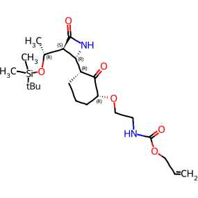 C=CCOC(=O)NCCO[C@@H]1CCC[C@H]([C@H]2NC(=O)[C@@H]2[C@@H](C)O[Si](C)(C)C(C)(C)C)C1=O